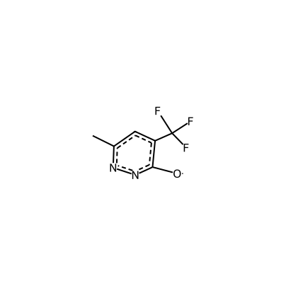 Cc1cc(C(F)(F)F)c([O])nn1